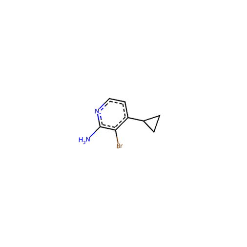 Nc1nccc(C2CC2)c1Br